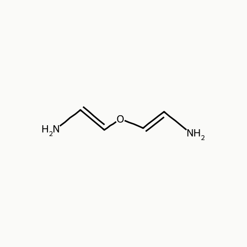 NC=COC=CN